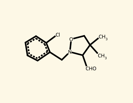 CC1(C)CON(Cc2ccccc2Cl)C1C=O